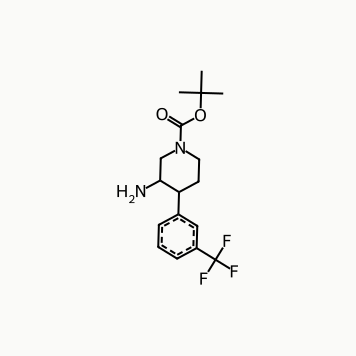 CC(C)(C)OC(=O)N1CCC(c2cccc(C(F)(F)F)c2)C(N)C1